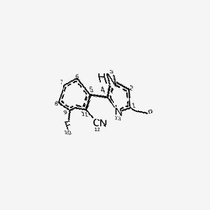 Cc1c[nH]c(-c2cccc(F)c2C#N)n1